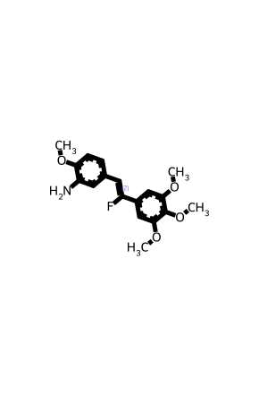 COc1ccc(/C=C(\F)c2cc(OC)c(OC)c(OC)c2)cc1N